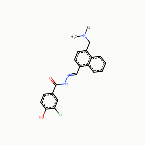 CCN(C)Cc1ccc(/C=N/NC(=O)c2ccc(O)c(Cl)c2)c2ccccc12